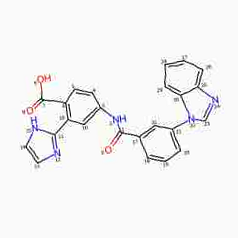 O=C(Nc1ccc(C(=O)O)c(-c2ncc[nH]2)c1)c1cccc(-n2cnc3ccccc32)c1